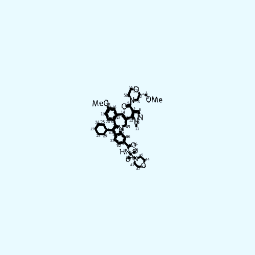 COC[C@@H]1CN(C(=O)c2cnn(C)c2C2=Cc3cc(OC)ccc3-c3c(C4CCCCC4)c4ccc(C(=O)NS(=O)(=O)N5CCOCC5)cc4n3C2)CCO1